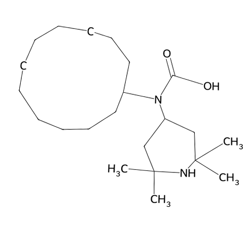 CC1(C)CC(N(C(=O)O)C2CCCCCCCCCCC2)CC(C)(C)N1